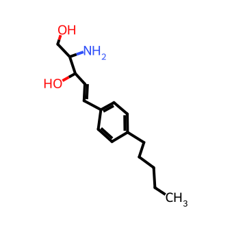 CCCCCc1ccc(C=CC(O)C(N)CO)cc1